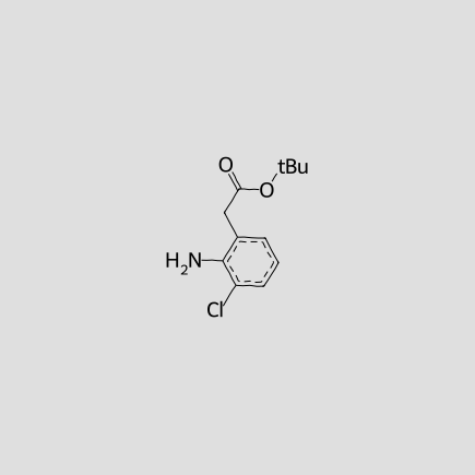 CC(C)(C)OC(=O)Cc1cccc(Cl)c1N